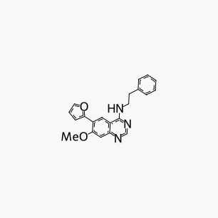 COc1cc2ncnc(NCCc3ccccc3)c2cc1-c1ccco1